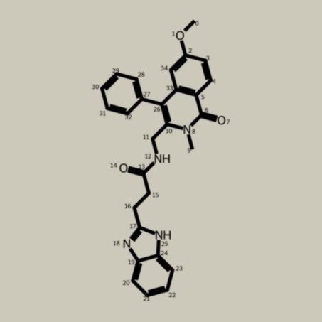 COc1ccc2c(=O)n(C)c(CNC(=O)CCc3nc4ccccc4[nH]3)c(-c3ccccc3)c2c1